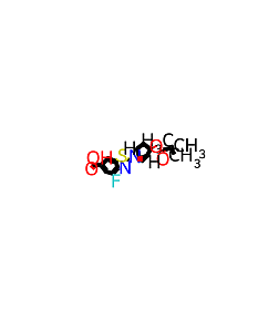 CC(C)(C)C(=O)O[C@@H]1C[C@@H]2C[C@H]1CN2c1nc2c(F)cc(C(=O)O)cc2s1